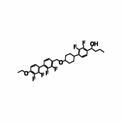 CCCC(O)c1ccc(C2CCC(OCc3ccc(-c4ccc(OCC)c(F)c4F)c(F)c3F)CC2)c(F)c1F